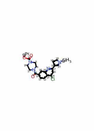 CCCOC(=O)N1CCN(C(=O)c2ccc3c(Cl)cc(-c4ccn([SiH3])c4)nc3c2)CC1